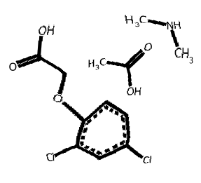 CC(=O)O.CNC.O=C(O)COc1ccc(Cl)cc1Cl